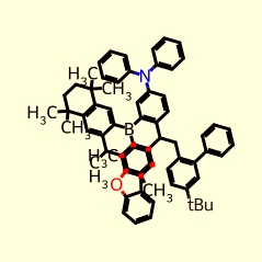 Cc1cc(C)c2c(c1)C(Cc1ccc(C(C)(C)C)cc1-c1ccccc1)c1ccc(N(c3ccccc3)c3ccccc3)cc1B2c1cc2c(cc1C(C)c1cccc3c1oc1ccccc13)C(C)(C)CCC2(C)C